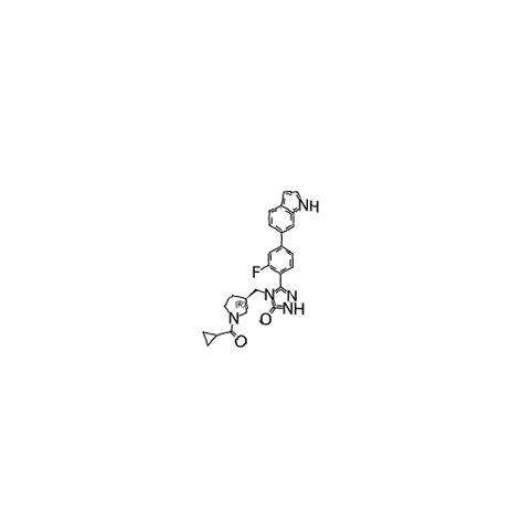 O=C(C1CC1)N1CC[C@@H](Cn2c(-c3ccc(-c4ccc5cc[nH]c5c4)cc3F)n[nH]c2=O)C1